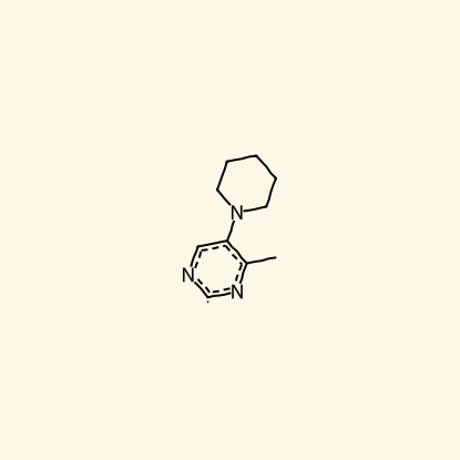 Cc1n[c]ncc1N1CCCCC1